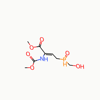 COC(=O)N/C(=C\C[PH](=O)CO)C(=O)OC